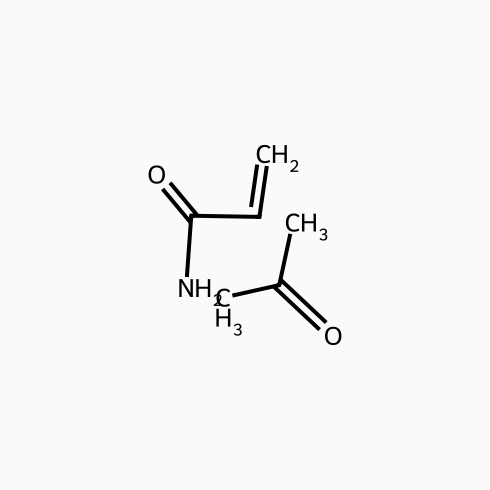 C=CC(N)=O.CC(C)=O